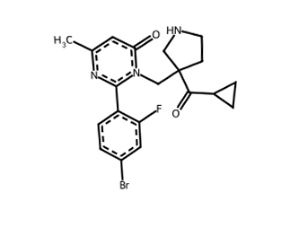 Cc1cc(=O)n(CC2(C(=O)C3CC3)CCNC2)c(-c2ccc(Br)cc2F)n1